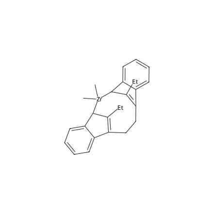 CCC1=C2CCC3=C(CC)[CH](c4ccccc43)[Zr]([CH3])([CH3])[CH]1c1ccccc12